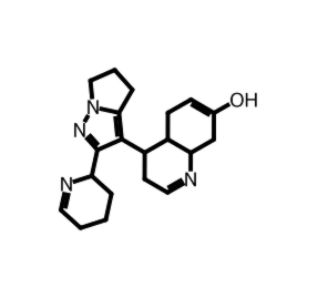 OC1=CCC2C(C1)N=CCC2c1c(C2CCCC=N2)nn2c1CCC2